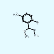 COC(OC)c1cc(C)ccc1Br